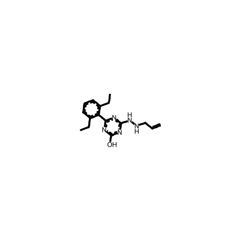 C=CCNNc1nc(O)nc(-c2c(CC)cccc2CC)n1